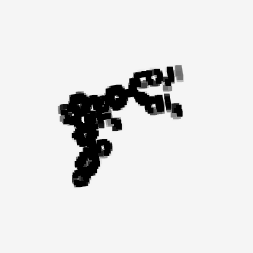 CC#CC(CC(=O)O)c1ccc(OCc2ccc3scc(-c4ccc(C(=O)N5CC[S+]([O-])CC5)cc4C)c3c2)cc1